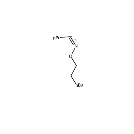 CCC/[C]=N\OCCCCCC